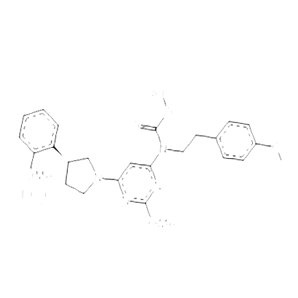 COc1nc(N2C[C@H](C(=O)O)[C@@H](c3ccccc3OC)C2)cc(N(CCc2ccc(OC(F)(F)F)cc2)C(=O)OC(C)(C)C)n1